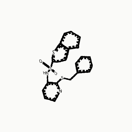 O=S(=O)(Nc1cccnc1SCc1ccccc1)c1cc2ccccc2s1